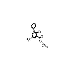 CCOC(=O)c1cc(C)cn(-c2ccccc2)c1=O